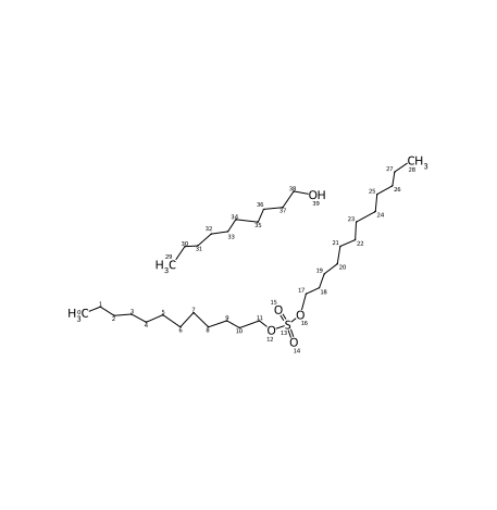 CCCCCCCCCCCCOS(=O)(=O)OCCCCCCCCCCCC.CCCCCCCCCCO